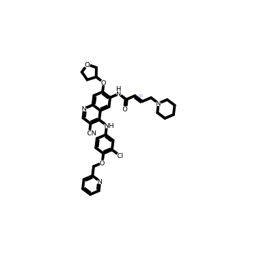 N#Cc1cnc2cc(OC3CCOC3)c(NC(=O)/C=C/CN3CCCCC3)cc2c1Nc1ccc(OCc2ccccn2)c(Cl)c1